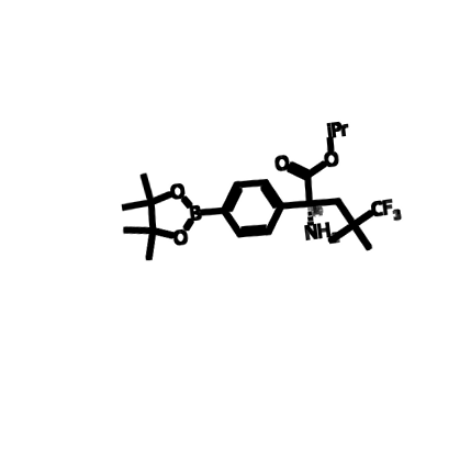 CC(C)OC(=O)[C@@](N)(CC(C)(C)C(F)(F)F)c1ccc(B2OC(C)(C)C(C)(C)O2)cc1